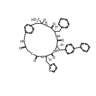 O=C1CCC(=O)N[C@H](Cc2cccs2)C(=O)N[C@H](Cc2ccc(-c3ccccc3)cc2)C(=O)N[C@H](Cc2ccccc2)C(=O)N[C@@H](C(=O)O)Cc2ccc(cc2)N1